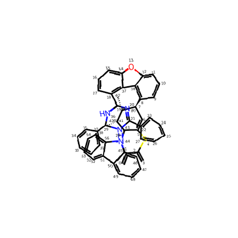 C=CC(=C)SC1=C[C@H](c2cccc3oc4cccc(C5N=C(c6ccccc6)NC(c6ccccc6)N5)c4c23)[C@@H](C)[C@@H](C)C1n1c2ccccc2c2ccccc21